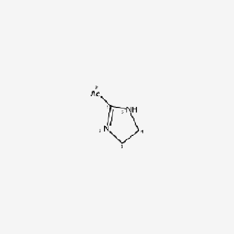 CC(=O)C1=NCCN1